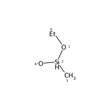 CCO[SiH](C)[O]